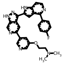 CN(C)CCOc1cncc(-c2cc3c(-c4cc5c(-c6ccc(F)cc6)nccc5[nH]4)n[nH]c3cn2)c1